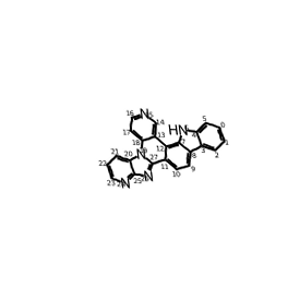 c1ccc2c(c1)[nH]c1c2ccc2c1c1cnccc1n1c3cccnc3nc21